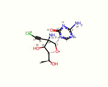 C[C@H](O)[C@H]1O[C@@H](n2cnc(N)nc2=O)[C@@](N)(C#CCl)C1O